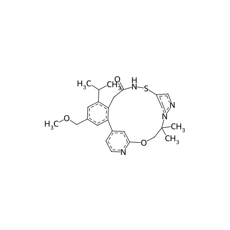 COCc1cc2c(c(C(C)C)c1)CC(=O)NSc1cnn(c1)C(C)(C)COc1cc-2ccn1